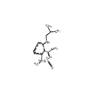 CNc1cccc(NCC(C)C)c1/C(N)=N\[SH](=O)=O